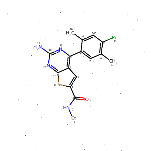 CCNC(=O)c1cc2c(-c3cc(C)c(Br)cc3C)nc(N)nc2s1